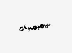 N=C(N)Nc1ccc(C(=O)Oc2ccc(C=CC(=O)OCC(=O)N3CCOCC3)cc2)cc1